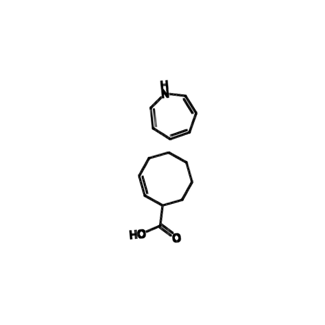 C1=CC=CNC=C1.O=C(O)C1C=CCCCCC1